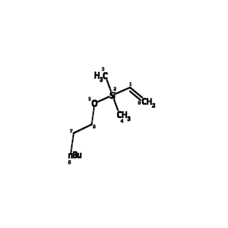 C=C[Si](C)(C)OCCCCCC